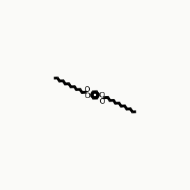 CCCCCCCCCCCC(=O)Oc1ccc(OC(=O)CCCCCCCCCCC)cc1